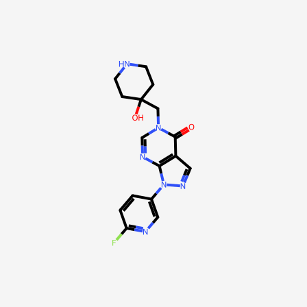 O=c1c2cnn(-c3ccc(F)nc3)c2ncn1CC1(O)CCNCC1